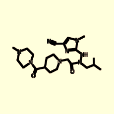 CC(C)CN(Nc1nc(C#N)cn1C)C(=O)CN1CCC(C(=O)N2CCN(C)CC2)CC1